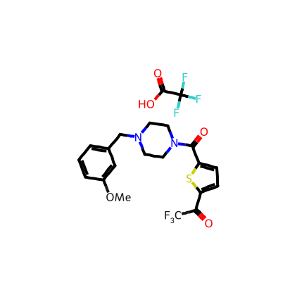 COc1cccc(CN2CCN(C(=O)c3ccc(C(=O)C(F)(F)F)s3)CC2)c1.O=C(O)C(F)(F)F